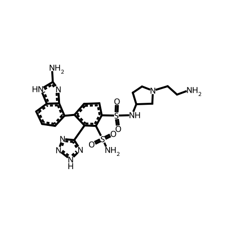 NCCN1CCC(NS(=O)(=O)c2ccc(-c3cccc4[nH]c(N)nc34)c(-c3nn[nH]n3)c2S(N)(=O)=O)C1